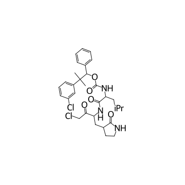 CC(C)CC(NC(=O)OC(c1ccccc1)C(C)(C)c1cccc(Cl)c1)C(=O)NC(CC1CCNC1=O)C(=O)CCl